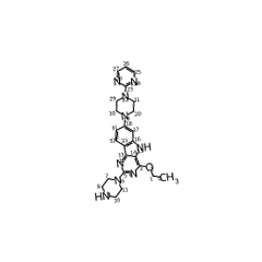 CCOc1nc(N2CCNCC2)nc2c1[nH]c1cc(N3CCN(c4ncccn4)CC3)ccc12